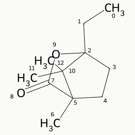 CCC12CCC(C)(C(=O)O1)C2(C)C